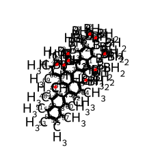 BBB(B)B(B(B)B)c1c(B(B(B)B)B(B)B)c(B(BB)B(B)B)c(B(B)B(B)B)c2c(B(B)BB)c(-c3c4c(c(C)c5c(-c6c(C)c(C)c7c(C)c(C)c(C)c(C)c7c6C)c(C)c(C)c(C)c35)=C(C)C(C)C(C)C=4C)c(BB)c(B)c12